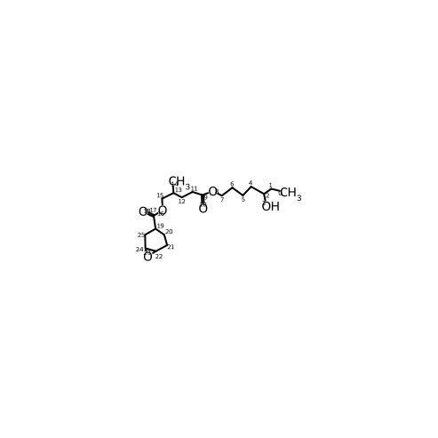 CCC(O)CCCCOC(=O)CCC(C)COC(=O)C1CCC2OC2C1